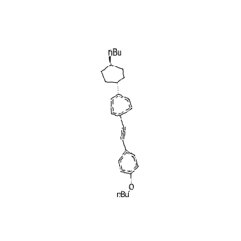 CCCCOc1ccc(C#Cc2ccc([C@H]3CC[C@H](CCCC)CC3)cc2)cc1